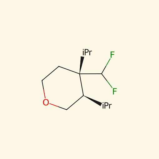 CC(C)[C@H]1COCC[C@]1(C(C)C)C(F)F